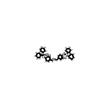 CC(C)(C)[Si](Oc1ccc(CNCc2ccc(O[Si](c3ccccc3)(c3ccccc3)C(C)(C)C)cc2)cc1)(c1ccccc1)c1ccccc1